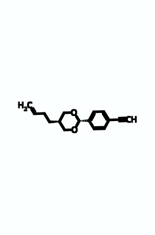 C#Cc1ccc([C@H]2OC[C@H](CCC=C)CO2)cc1